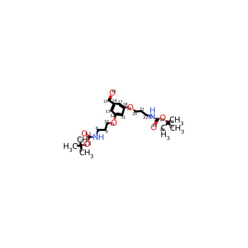 CC(C)(C)OC(=O)NCCCOc1cc(C=O)cc(OCCCNC(=O)OC(C)(C)C)c1